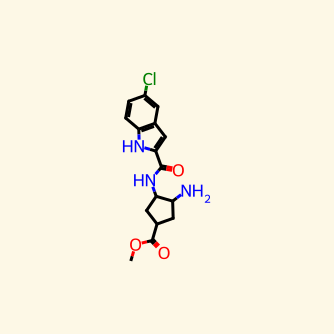 COC(=O)C1CC(N)C(NC(=O)c2cc3cc(Cl)ccc3[nH]2)C1